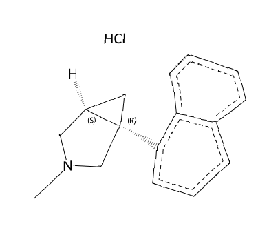 CN1C[C@H]2C[C@@]2(c2cccc3ccccc23)C1.Cl